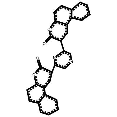 O=c1oc2ccc3ccccc3c2cc1-c1cncc(-c2cc3c(ccc4ccccc43)oc2=O)n1